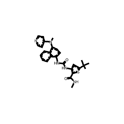 CNC(=O)c1sc(C(C)(C)C)cc1NC(=O)Nc1ccc(N(C)c2ccncc2)c2ccccc12